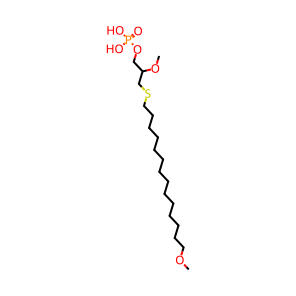 COCCCCCCCCCCCCCCSCC(COP(=O)(O)O)OC